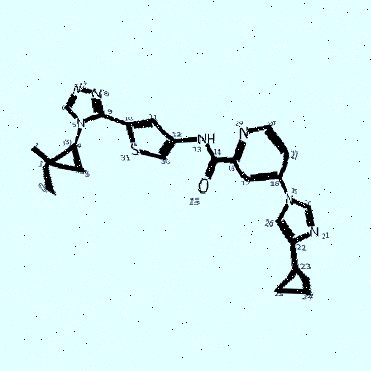 CC1(C)C[C@@H]1n1cnnc1-c1cc(NC(=O)c2cc(-n3cnc(C4CC4)c3)ccn2)cs1